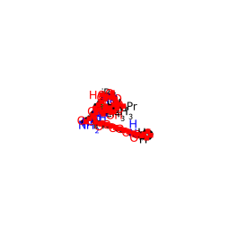 CCCC1O[C@@H]2C[C@H]3[C@@H]4C[C@H](F)C5=CC(=O)C=C[C@]5(C)[C@@]4(F)[C@@H](O)C[C@]3(C)[C@]2(C(=O)COC(=O)[C@H](CC(C)C)NC(=O)[C@H](CO)NC(=O)OCc2ccc(NC(=O)[C@H](CCCNC(N)=O)NC(=O)[C@@H](NC(=O)CCOCCOCCOCCOCCNC(=O)OC[C@@H]3[C@@H]4CCC#CCC[C@@H]43)C(C)C)cc2)O1